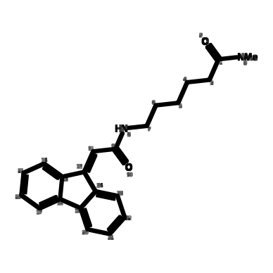 CNC(=O)CCCCCNC(=O)C=C1c2ccccc2-c2ccccc21